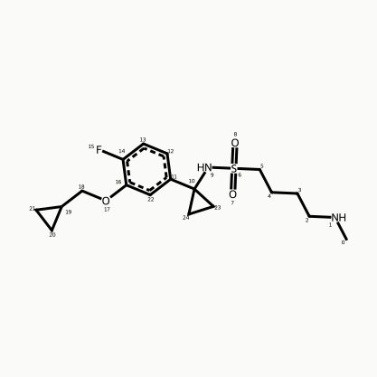 CNCCCCS(=O)(=O)NC1(c2ccc(F)c(OCC3CC3)c2)CC1